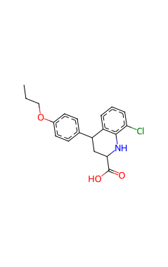 CCCOc1ccc(C2CC(C(=O)O)Nc3c(Cl)cccc32)cc1